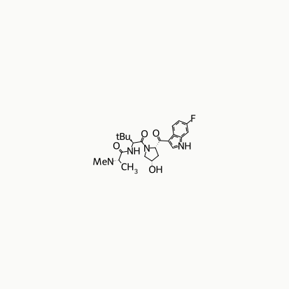 CN[C@@H](C)C(=O)N[C@H](C(=O)N1C[C@@H](O)C[C@H]1C(=O)c1c[nH]c2cc(F)ccc12)C(C)(C)C